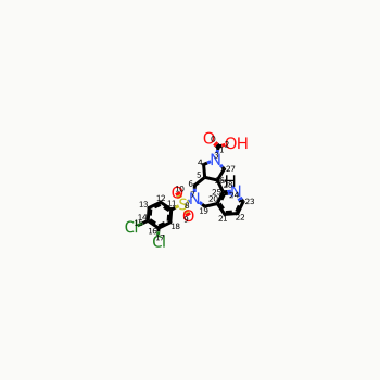 O=C(O)N1CC2CN(S(=O)(=O)c3ccc(Cl)c(Cl)c3)Cc3cccnc3[C@@H]2C1